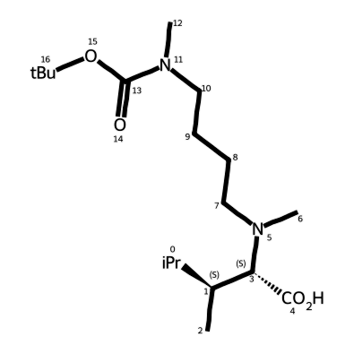 CC(C)[C@H](C)[C@@H](C(=O)O)N(C)CCCCN(C)C(=O)OC(C)(C)C